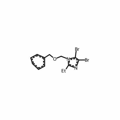 CCc1nc(Br)c(Br)n1COCc1ccccc1